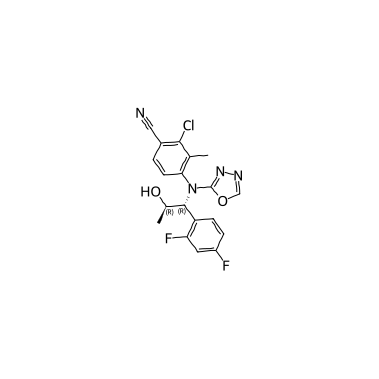 Cc1c(N(c2nnco2)[C@H](c2ccc(F)cc2F)[C@@H](C)O)ccc(C#N)c1Cl